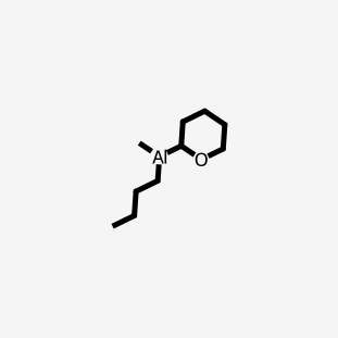 CCC[CH2][Al]([CH3])[CH]1CCCCO1